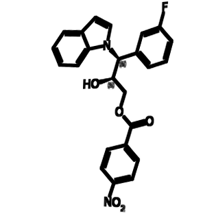 O=C(OC[C@@H](O)[C@H](c1cccc(F)c1)n1ccc2ccccc21)c1ccc([N+](=O)[O-])cc1